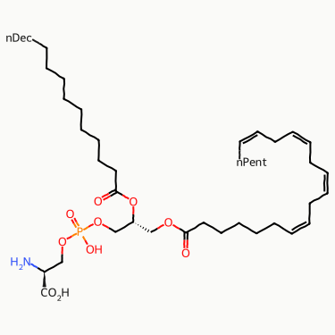 CCCCC/C=C\C/C=C\C/C=C\C/C=C\CCCCCC(=O)OC[C@H](COP(=O)(O)OC[C@H](N)C(=O)O)OC(=O)CCCCCCCCCCCCCCCCCCC